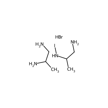 Br.CC(CN)NI.CC(N)CN